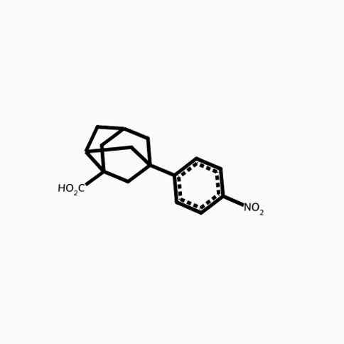 O=C(O)C12CC3CC1CC(c1ccc([N+](=O)[O-])cc1)(C3)C2